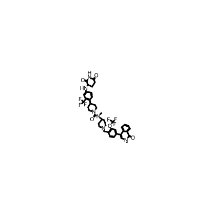 CN(C(=O)N1CCC(c2ccc(NC3CCC(=O)NC3=O)cc2C(F)(F)F)CC1)C1CCN(Cc2ccc(-c3cn(C)c(=O)c4ccccc34)cc2OC(F)(F)F)CC1